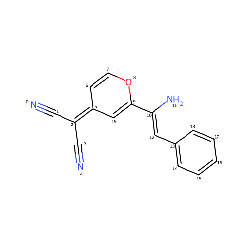 N#CC(C#N)=C1C=COC(C(N)=Cc2ccccc2)=C1